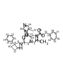 CCCN(CC(=O)NCC1(c2ccccc2)CCC1)C(=O)[C@H](Cc1cnc[nH]1)NC(=O)OCc1ccccc1